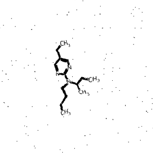 CCCCN(c1ncc(CC)cn1)C(C)CC